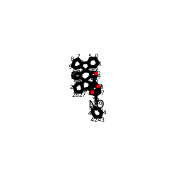 c1ccc2c(c1)-c1ccccc1C21c2ccccc2C2(c3ccccc3-c3ccccc32)c2c(-c3ccc(-c4nc5ccccc5o4)cc3)cccc21